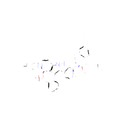 CC(C(=O)Nc1cc(-c2[nH]c3ccn(C)c(=O)c3c2-c2ccccc2C#N)ccn1)c1ccc(F)cc1